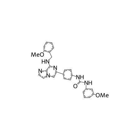 COc1cccc(NC(=O)Nc2ccc(-c3cn4ccnc4c(NCc4ccccc4OC)n3)cc2)c1